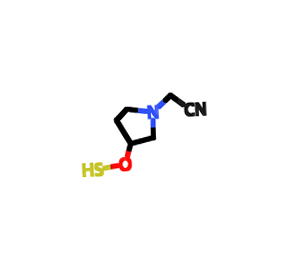 N#CCN1CCC(OS)C1